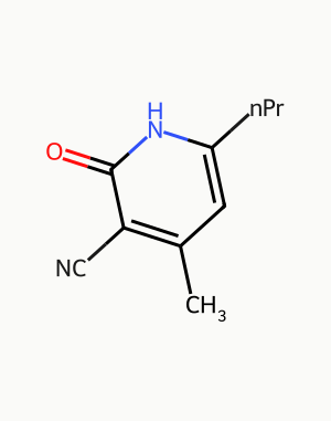 CCCc1cc(C)c(C#N)c(=O)[nH]1